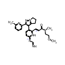 COCCN(C)C(=O)/C=C/c1[nH]/c(=N\C=N)ccc1-c1c(-c2cccc(C)n2)nn2c1CCC2